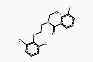 CCN(CCOc1c(Cl)cccc1Cl)C(=O)c1cncc(Cl)c1